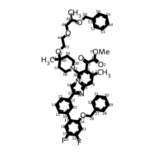 COC(=O)C(=O)c1c(C)cc2nc(-c3cccc(-c4cc(F)c(F)cc4OCc4ccccc4)c3)cn2c1N1CCC(C)(OCCOC[C@@H](C)OCc2ccccc2)CC1